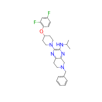 CC(C)Nc1nc2c(nc1N1CCC(Oc3ccc(F)cc3F)CC1)CCN(Cc1ccccc1)C2